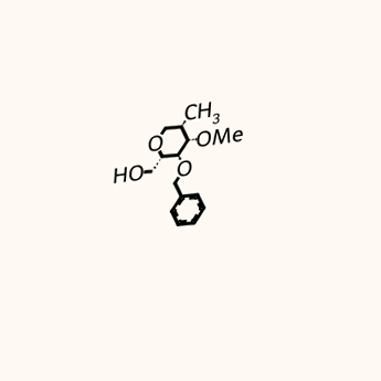 CO[C@@H]1[C@H](OCc2ccccc2)[C@H](CO)OC[C@@H]1C